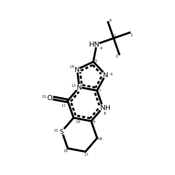 CC(C)(C)Nc1nc2[nH]c3c(c(=O)n2n1)SCCC3